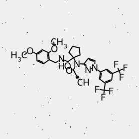 C#CC(=O)N(c1ccn(-c2cc(C(F)(F)F)cc(C(F)(F)F)c2)n1)C1(C(=O)NCc2ccc(OC)cc2OC)CCCC1